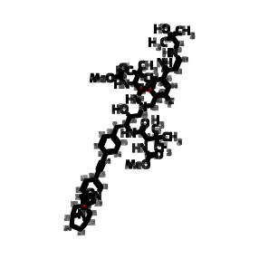 COC(=O)N[C@H](C(=O)N[C@@H](Cc1ccc(C#Cc2ccc(N3CC4CCC(C3)N4C3COC3)nc2)cc1)[C@@H](O)CN(Cc1c(F)cc(C(=N)/C=C\NCC(C)(C)O)cc1F)NC(=O)[C@@H](NC(=O)OC)C(C)(C)C(F)(F)F)C(C)(C)C(F)(F)F